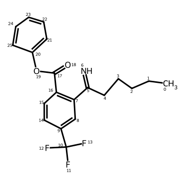 CCCCCC(=N)c1cc(C(F)(F)F)ccc1C(=O)Oc1ccccc1